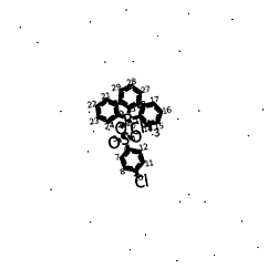 CP(OS(=O)(=O)c1ccc(Cl)cc1)(c1ccccc1)(c1ccccc1)c1ccccc1